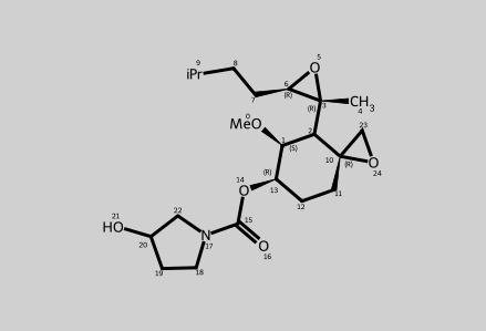 CO[C@H]1C([C@@]2(C)O[C@@H]2CCC(C)C)[C@]2(CC[C@H]1OC(=O)N1CCC(O)C1)CO2